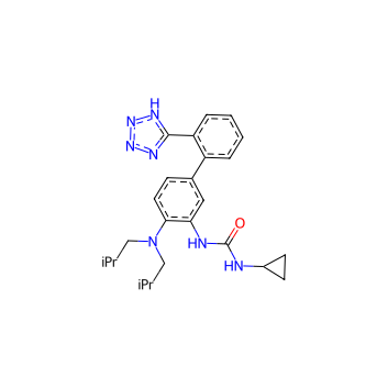 CC(C)CN(CC(C)C)c1ccc(-c2ccccc2-c2nnn[nH]2)cc1NC(=O)NC1CC1